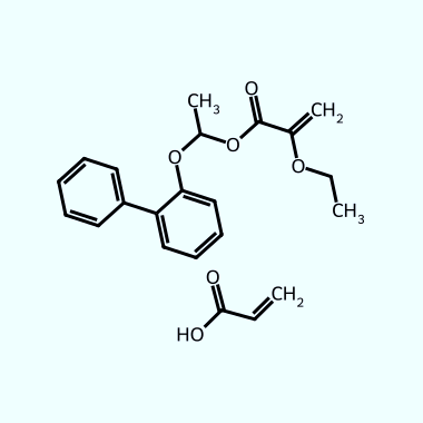 C=C(OCC)C(=O)OC(C)Oc1ccccc1-c1ccccc1.C=CC(=O)O